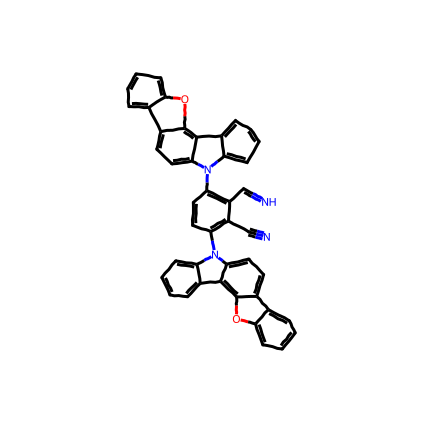 N#Cc1c(-n2c3ccccc3c3c4oc5ccccc5c4ccc32)ccc(-n2c3ccccc3c3c4oc5ccccc5c4ccc32)c1C=N